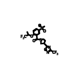 CC(Oc1ccc(S(C)(=O)=O)cc1C(=O)N1CCC(c2nc(C(F)(F)F)no2)C1)C(F)(F)F